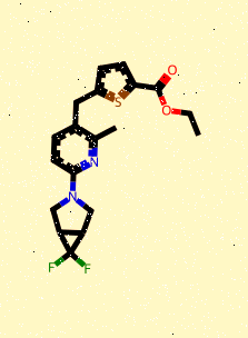 CCOC(=O)c1ccc(Cc2ccc(N3CC4C(C3)C4(F)F)nc2C)s1